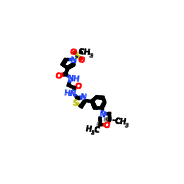 C[C@@H]1CN(c2cccc(-c3csc(NC(=O)CNC(=O)c4ccn(S(C)(=O)=O)c4)n3)c2)C[C@H](C)O1